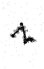 CC[C@@]1(O)C(=O)OCc2c1cc1n(c2=O)Cc2c-1nc1cc(F)c(C)c3c1c2[C@@H](N(C)C(=O)COCCOCNC(=O)CNC(=O)[C@H](Cc1ccccc1)NC(=O)CNC(=O)CNC(=O)CCCCCN1C(=O)C=CC1=O)CC3